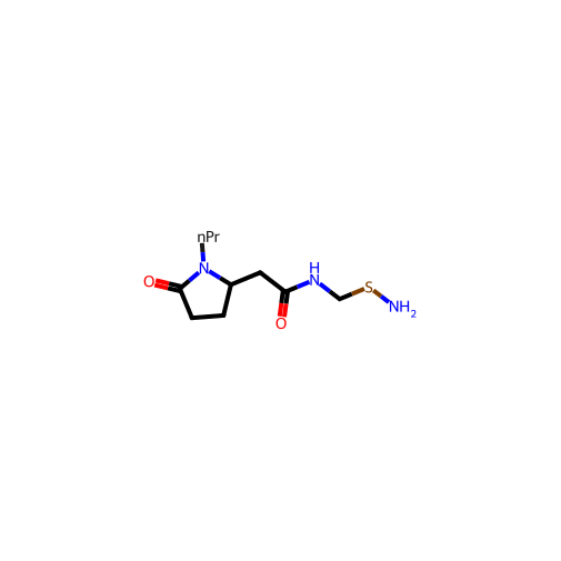 CCCN1C(=O)CCC1CC(=O)NCSN